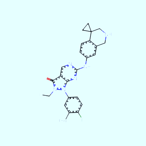 CC(C)(C)c1cc(-n2c3nc(Nc4ccc5c(c4)CNCC54CC4)ncc3c(=O)n2CC(F)(F)F)ccc1F